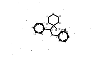 CCCCCC1(C(Cc2ccccc2)c2ccccc2)CCCCC1